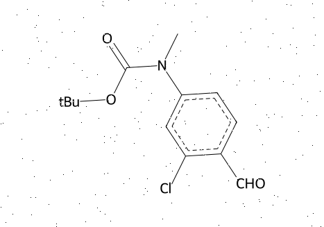 CN(C(=O)OC(C)(C)C)c1ccc(C=O)c(Cl)c1